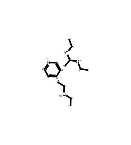 CCOC(C)OCC.CCOCC.c1ccncc1